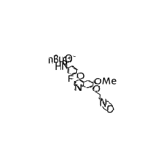 CCCC[S+]([O-])Nc1ccc(Oc2ccnc3cc(OCCCN4CCOCC4)c(OC)cc23)c(F)c1